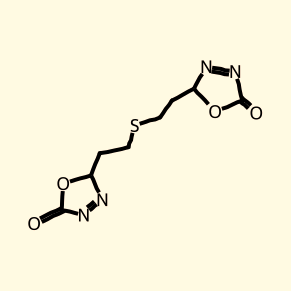 O=C1N=NC(CCSCCC2N=NC(=O)O2)O1